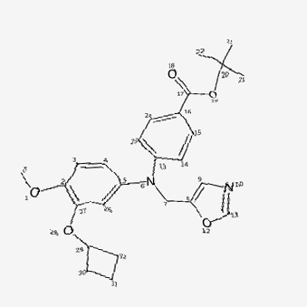 COc1ccc(N(Cc2cnco2)c2ccc(C(=O)OC(C)(C)C)cc2)cc1OC1CCC1